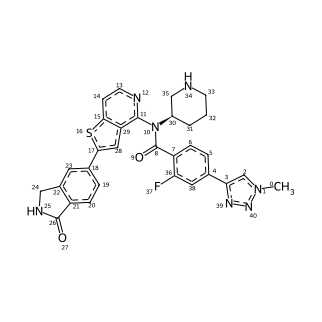 Cn1cc(-c2ccc(C(=O)N(c3nccc4sc(-c5ccc6c(c5)CNC6=O)cc34)[C@@H]3CCCNC3)c(F)c2)nn1